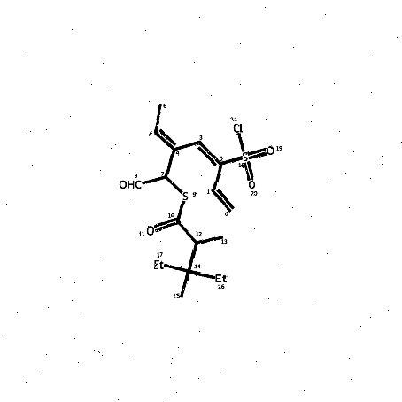 C=C/C(=C\C(=C/C)C(C=O)SC(=O)C(C)C(C)(CC)CC)S(=O)(=O)Cl